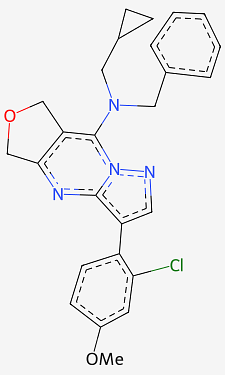 COc1ccc(-c2cnn3c(N(Cc4ccccc4)CC4CC4)c4c(nc23)COC4)c(Cl)c1